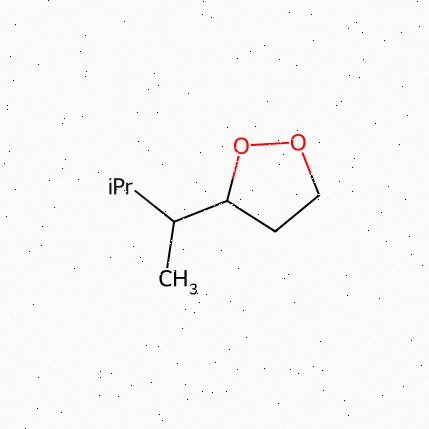 CC(C)C(C)C1CCOO1